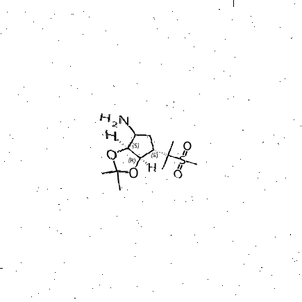 CC1(C)O[C@H]2[C@@H](O1)C(N)C[C@@H]2C(C)(C)S(C)(=O)=O